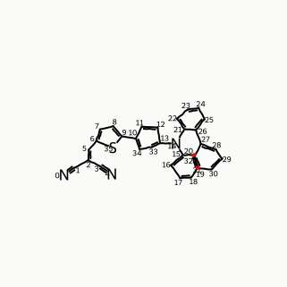 N#CC(C#N)=Cc1ccc(-c2ccc(N(c3ccccc3)c3ccccc3-c3ccccc3)cc2)s1